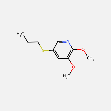 CCCSc1cnc(OC)c(OC)c1